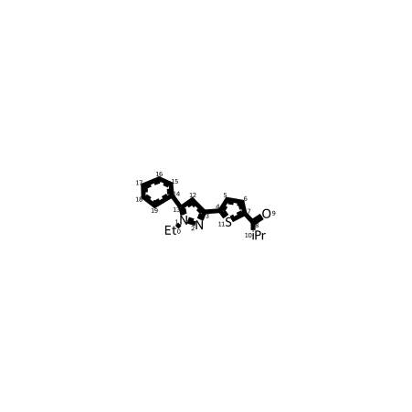 CCn1nc(-c2ccc(C(=O)C(C)C)s2)cc1-c1ccccc1